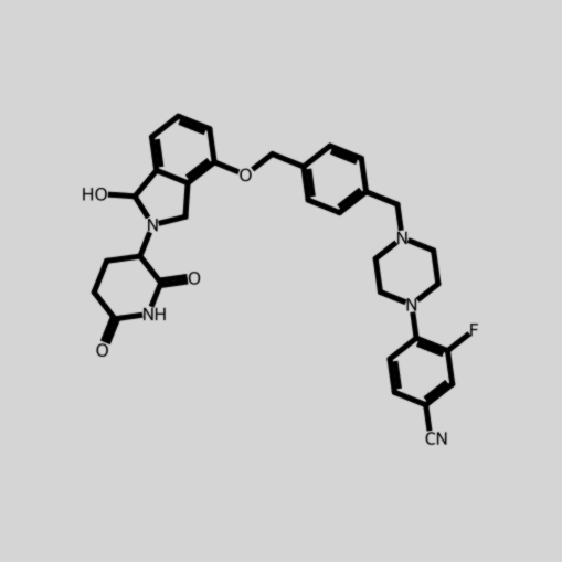 N#Cc1ccc(N2CCN(Cc3ccc(COc4cccc5c4CN(C4CCC(=O)NC4=O)C5O)cc3)CC2)c(F)c1